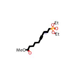 CCOP(=O)(C/C=C/C#CCCCCC(=O)OC)OCC